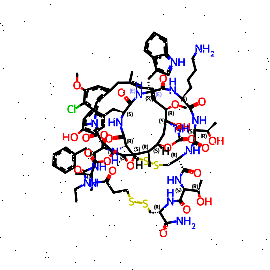 CCNC(=O)N[C@H](Cc1ccccc1)C(=O)N[C@H]1CSSC[C@@H](C(=O)N[C@H](C(=O)N[C@@H](CSSCCC(=O)N(C)[C@@H](C)C(=O)O[C@H]2CC(=O)N(C)c3cc(cc(OC)c3Cl)C/C(C)=C/C=C/[C@@H](OC)[C@@]3(O)C[C@H](OC(=O)N3)[C@@H](C)[C@@H]3O[C@@]23C)C(N)=O)[C@@H](C)O)NC(=O)[C@H]([C@@H](C)O)NC(=O)[C@H](CCCCN)NC(=O)[C@@H](Cc2c[nH]c3ccccc23)NC(=O)[C@H](Cc2ccc(O)cc2)NC1=O